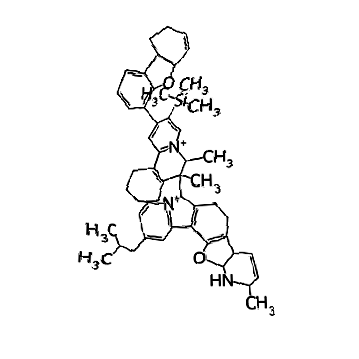 CC(C)Cc1cc[n+]2c(c1)C1=C(CCC3=C1OC1NC(C)C=CC31)C2C1(C)C2=C(CCCC2)c2cc(-c3cccc4c3OC3C=CCCC43)c([Si](C)(C)C)c[n+]2C1C